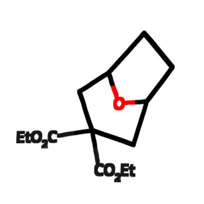 CCOC(=O)C1(C(=O)OCC)CC2CCC(C1)O2